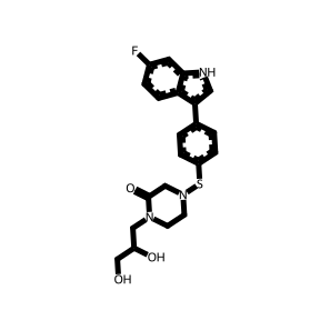 O=C1CN(Sc2ccc(-c3c[nH]c4cc(F)ccc34)cc2)CCN1CC(O)CO